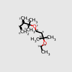 C=CC(=C)C(C)(C)OCCC(C)(C)OCC